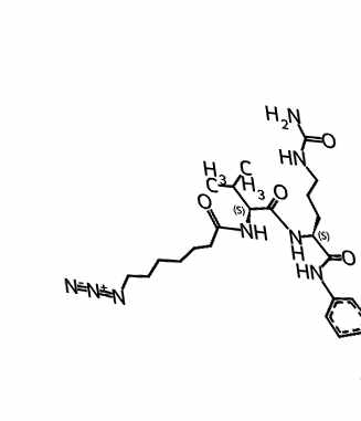 CC(C)[C@H](NC(=O)CCCCCCN=[N+]=[N-])C(=O)N[C@@H](CCCNC(N)=O)C(=O)Nc1ccc(CO)cc1